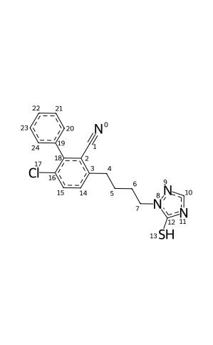 N#Cc1c(CCCCn2ncnc2S)ccc(Cl)c1-c1ccccc1